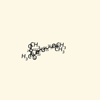 COC1CC(N(C)C(=O)C23CC(COCCCCOC(C)C)(C2)C3)C1